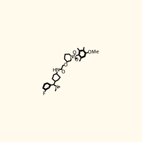 COc1cc(C)c(S(=O)(=O)N2CCCC(OCC(=O)NC3CCC(C(c4cccc(F)c4)N(C)C)CC3)C2)c(C)c1C